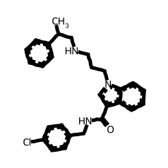 CC(CNCCCn1cc(C(=O)NCc2ccc(Cl)cc2)c2ccccc21)c1ccccc1